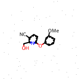 COc1cccc(Oc2ccc(C#N)c(CO)n2)c1